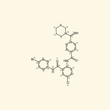 N=C(c1ccc(C(=O)Nc2ccc(Cl)cc2C(=O)Nc2ccc(Br)cn2)cc1)N1CCCCC1